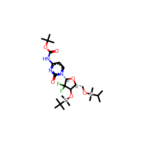 CC(C)[Si](C)(C)OC[C@H]1O[C@@H](n2ccc(NC(=O)OC(C)(C)C)nc2=O)C(F)(F)C1O[Si](C)(C)C(C)(C)C